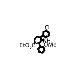 CCOC(=O)N1CCc2c([nH]c3ccc(Cl)cc23)C1c1ccccc1OC